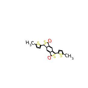 Cc1ccc(C2=C3C=C4C(=O)SC(c5ccc(C)s5)C4C=C3C(=O)S2)s1